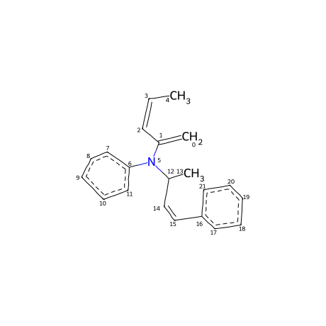 C=C(/C=C\C)N(c1ccccc1)C(C)/C=C\c1ccccc1